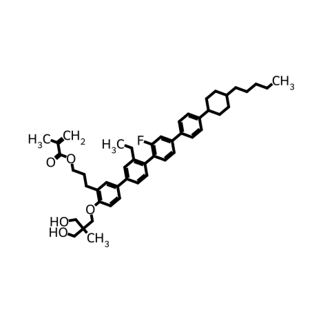 C=C(C)C(=O)OCCCc1cc(-c2ccc(-c3ccc(-c4ccc(C5CCC(CCCCC)CC5)cc4)cc3F)c(CC)c2)ccc1OCC(C)(CO)CO